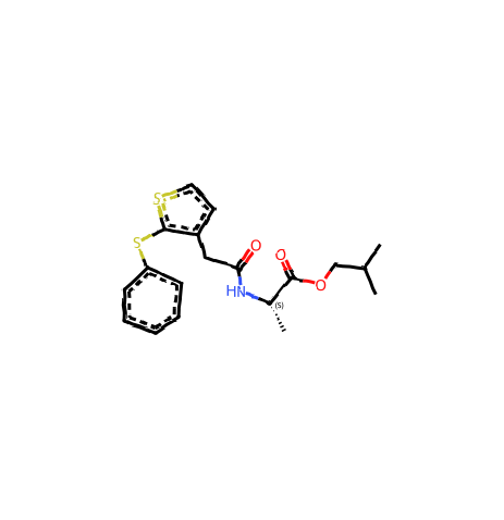 CC(C)COC(=O)[C@H](C)NC(=O)Cc1ccsc1Sc1ccccc1